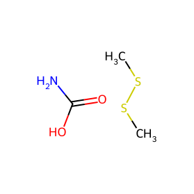 CSSC.NC(=O)O